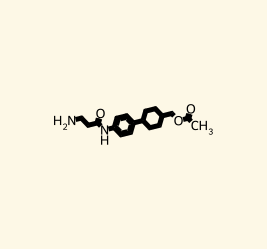 CC(=O)OCC1CCC(c2ccc(NC(=O)CCN)cc2)CC1